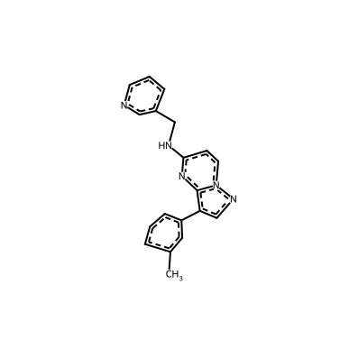 Cc1cccc(-c2cnn3ccc(NCc4cccnc4)nc23)c1